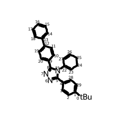 CC(C)(C)c1ccc(-c2nnc(-c3ccc(-c4ccccc4)cc3)n2C2=CCCC=C2)cc1